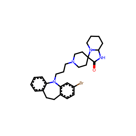 O=C1NC2CCCCN2C12CCN(CCCN1c3ccccc3CCc3ccc(Br)cc31)CC2